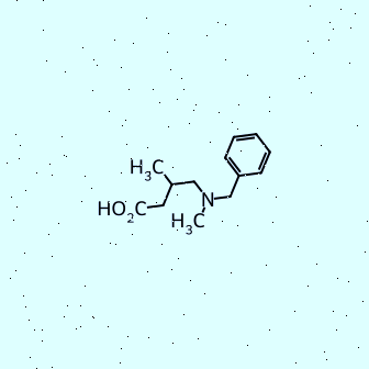 CC(CC(=O)O)CN(C)Cc1ccccc1